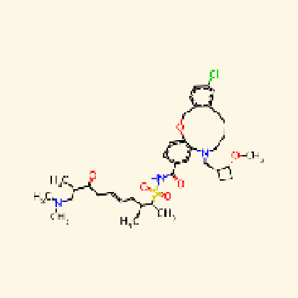 CO[C@@H]1CC[C@H]1CN1CCCCc2cc(Cl)ccc2COc2ccc(C(=O)NS(=O)(=O)[C@H](C)[C@@H](C)C/C=C/CC(=O)[C@H](C)CN(C)C)cc21